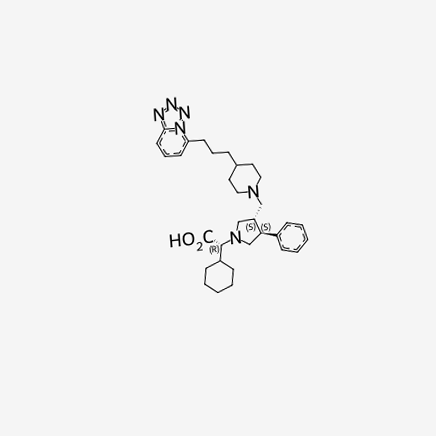 O=C(O)[C@@H](C1CCCCC1)N1C[C@H](CN2CCC(CCCc3cccc4nnnn34)CC2)[C@@H](c2ccccc2)C1